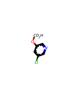 O=C(O)Oc1cncc(Cl)c1